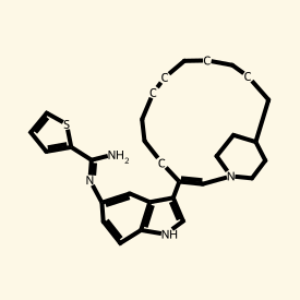 NC(=Nc1ccc2[nH]cc(C3=CN4CCC(CCCCCCCCCC3)CC4)c2c1)c1cccs1